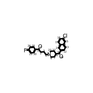 O=C(CCCN1CCC(C(=O)c2ccc3cc(Cl)ccc3c2)CC1)c1ccc(F)cc1